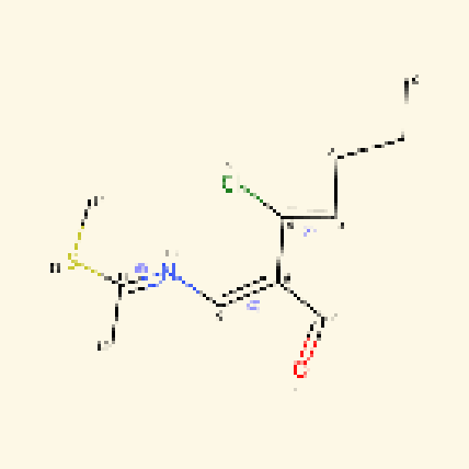 CCC/C=C(Cl)/C(C=O)=C\N=C(/C)SC